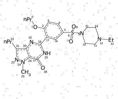 CCCOc1ccc(S(=O)(=O)N2CCN(CC)CC2)cc1-c1nc2c(CCC)nn(C)c2c(=O)[nH]1